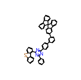 c1ccc(-c2nc(-c3ccc(-c4cccc(-c5ccc6c(c5)-c5ccccc5C65c6ccccc6-c6ccccc65)c4)cc3)nc(-c3cccc4sc5ccccc5c34)n2)cc1